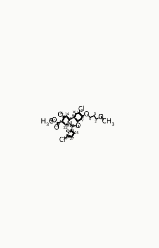 COCCCOc1cc2c(cc1Cl)-c1cc(=O)c(C(=O)OC)cn1[C@H](c1ccc(Cl)s1)O2